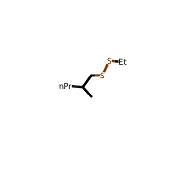 CCCC(C)CSSCC